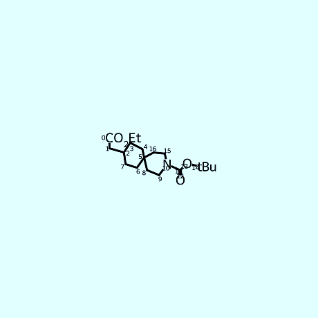 CCOC(=O)CC1CCC2(CC1)CCN(C(=O)OC(C)(C)C)CC2